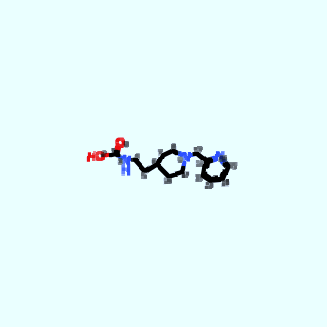 O=C(O)NCCC1CCN(Cc2ccccn2)CC1